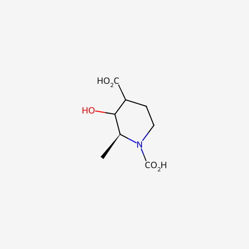 C[C@H]1C(O)C(C(=O)O)CCN1C(=O)O